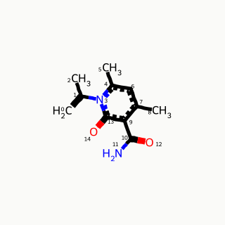 C=C(C)n1c(C)cc(C)c(C(N)=O)c1=O